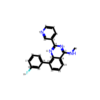 CNc1nc(-c2cccnc2)nc2c(-c3cccc(F)c3)cccc12